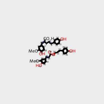 COc1cc(/C=C(\C/C=C/c2ccc(O)cc2)C(=O)O)ccc1O.COc1cc(/C=C/C(=O)OCC=Cc2ccc(O)cc2)ccc1O